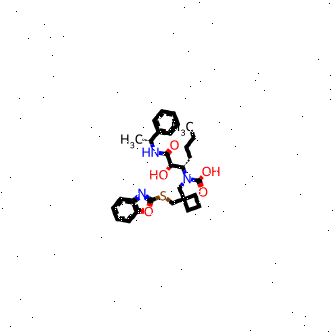 CCCC[C@@H](C(O)C(=O)N[C@H](C)c1ccccc1)N(CC1(CSc2nc3ccccc3o2)CCC1)C(=O)O